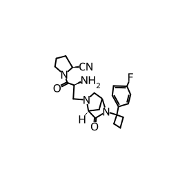 N#C[C@@H]1CCCN1C(=O)[C@@H](N)CN1CC2C[C@H]1C(=O)N2C1(c2ccc(F)cc2)CCC1